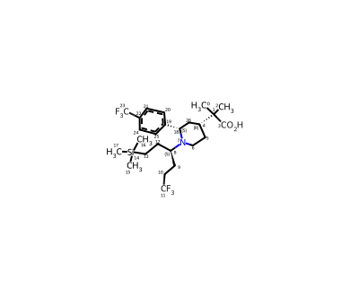 CC(C)(C(=O)O)[C@@H]1CCN([C@@H](CCC(F)(F)F)CC[Si](C)(C)C)[C@H](c2ccc(C(F)(F)F)cc2)C1